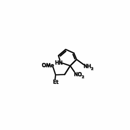 CCC(CC1([N+](=O)[O-])NC=CC=C1N)OC